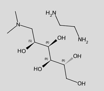 CN(C)C[C@H](O)[C@@H](O)[C@H](O)[C@H](O)CO.NCCN